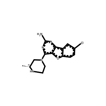 C[C@@H]1CN(c2nc(N)nc3c2oc2ccc(Cl)cc23)CCN1